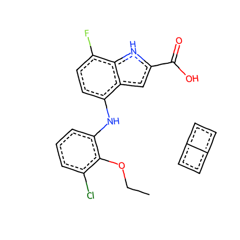 CCOc1c(Cl)cccc1Nc1ccc(F)c2[nH]c(C(=O)O)cc12.c1cc2ccc1-2